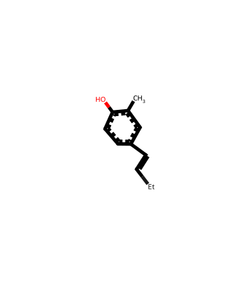 CCC=Cc1ccc(O)c(C)c1